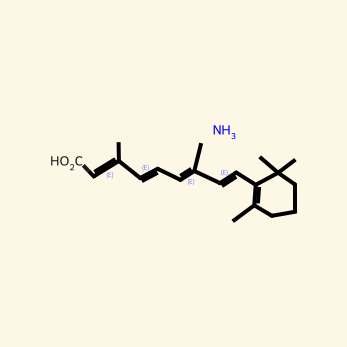 CC1=C(/C=C/C(C)=C/C=C/C(C)=C/C(=O)O)C(C)(C)CCC1.N